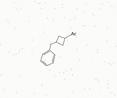 CC(=O)C1CC(Cc2ccccc2)C1